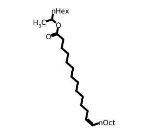 CCCCCCCC/C=C\CCCCCCCCCCCC(=O)OC(C)CCCCCC